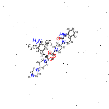 CN1CCN(C2CCN(C(=O)[C@@H](Cc3cc(C(F)(F)F)c(N)c(C(F)(F)F)c3)OC(=O)N3CCC(N4CCc5ccccc5NC4=O)CC3)CC2)CC1